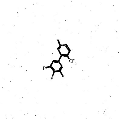 Cc1ccc(C(F)(F)F)c(-c2cc(F)c(F)c(F)c2)c1